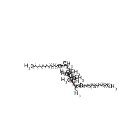 CCCCCCCCCCCCCCCOCCC(C)CCCC(C)(C)c1cc(OC)c(C(C)(C)CCCC(C)CCOCCCCCCCCCCCCCCC)cc1O